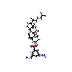 CC(C)=CCCC(C)C1CCC2C3C=CC4CC(OC(=O)c5cc(N)cc(N)c5)CCC4(C)C3CCC12C